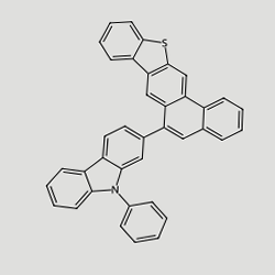 c1ccc(-n2c3ccccc3c3ccc(-c4cc5ccccc5c5cc6sc7ccccc7c6cc45)cc32)cc1